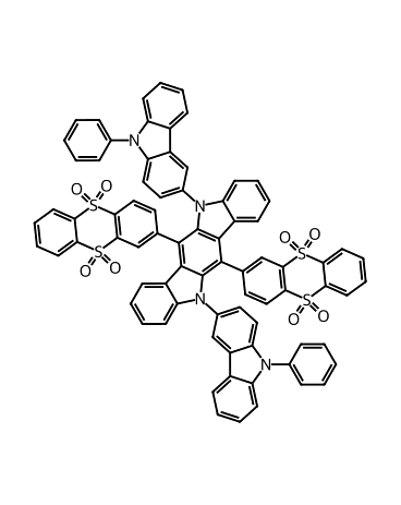 O=S1(=O)c2ccccc2S(=O)(=O)c2cc(-c3c4c5ccccc5n(-c5ccc6c(c5)c5ccccc5n6-c5ccccc5)c4c(-c4ccc5c(c4)S(=O)(=O)c4ccccc4S5(=O)=O)c4c5ccccc5n(-c5ccc6c(c5)c5ccccc5n6-c5ccccc5)c34)ccc21